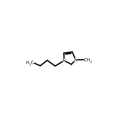 CCCCN1[CH]N(C)C=C1